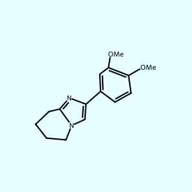 COc1ccc(-c2cn3c(n2)CCCC3)cc1OC